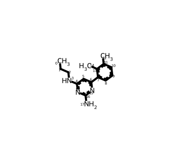 CCCNc1cc(-c2cccc(C)c2C)nc(N)n1